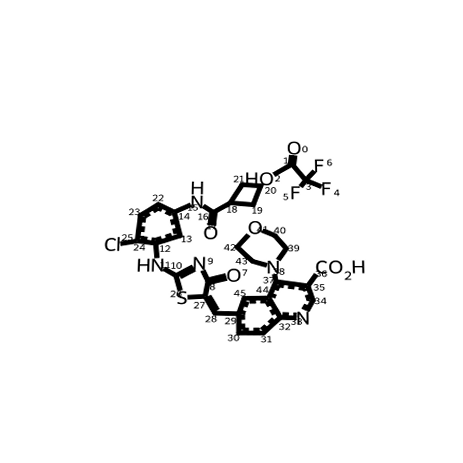 O=C(O)C(F)(F)F.O=C1N=C(Nc2cc(NC(=O)C3CCC3)ccc2Cl)SC1=Cc1ccc2ncc(C(=O)O)c(N3CCOCC3)c2c1